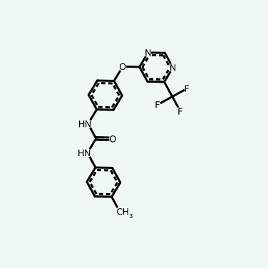 Cc1ccc(NC(=O)Nc2ccc(Oc3cc(C(F)(F)F)ncn3)cc2)cc1